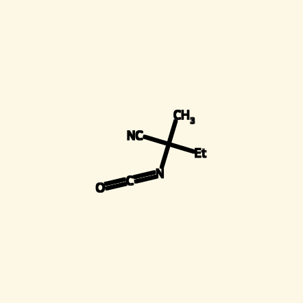 CCC(C)(C#N)N=C=O